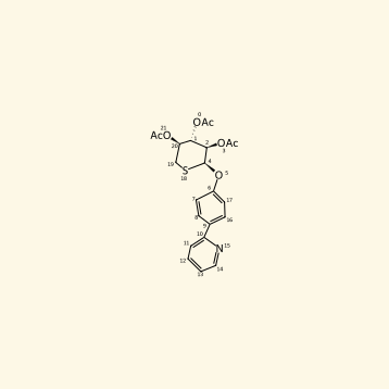 CC(=O)O[C@@H]1[C@@H](OC(C)=O)[C@@H](Oc2ccc(-c3ccccn3)cc2)SC[C@H]1OC(C)=O